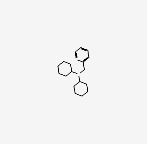 c1ccc(CP(C2CCCCC2)C2CCCCC2)nc1